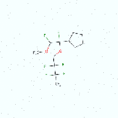 F[C](OC(F)(F)F)C(F)(OCC(F)(F)C(F)(F)C(F)(F)F)C1C[CH]CC1